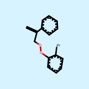 C=C(COOc1ccccc1C(C)C)c1ccccc1